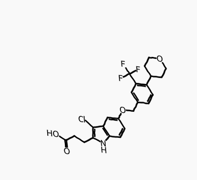 O=C(O)CCc1[nH]c2ccc(OCc3ccc(C4CCOCC4)c(C(F)(F)F)c3)cc2c1Cl